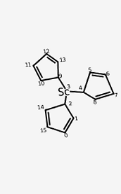 C1=C[CH]([Sc]([CH]2C=CC=C2)[CH]2C=CC=C2)C=C1